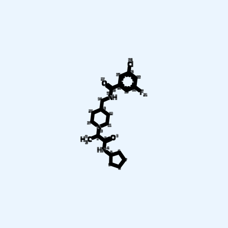 CC(C(=O)NC1CCCC1)N1CCC(CNC(=O)c2cc(F)cc(Cl)c2)CC1